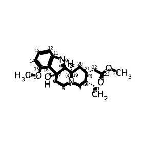 C=C[C@@H]1CN2CC[C@@]3(O)C(=Nc4cccc(OC)c43)[C@H]2C[C@@H]1CC(=O)OC